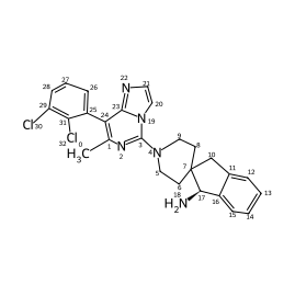 Cc1nc(N2CCC3(CC2)Cc2ccccc2[C@H]3N)n2ccnc2c1-c1cccc(Cl)c1Cl